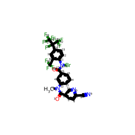 CN(C(=O)c1ccc(C#N)nc1)c1cccc(C(=O)N(Br)c2ccc(C(F)(C(F)(F)F)C(F)(F)F)cc2C(F)(F)F)c1